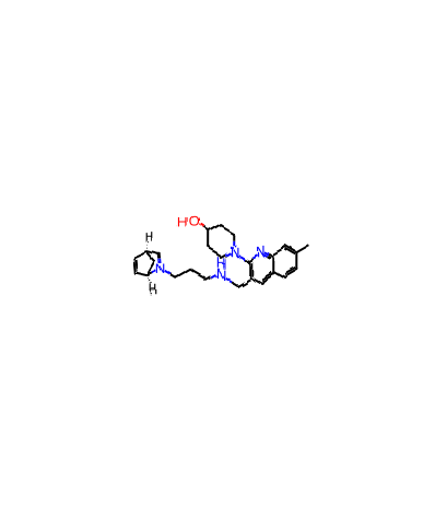 Cc1ccc2cc(CNCCCN3C[C@@H]4C=C[C@H]3C4)c(N3CCC(O)CC3)nc2c1